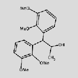 COc1cccc(C(c2cccc(OC)c2OC)C(C)O)c1OC